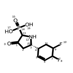 O=C1C[C@@H](C2C=CC(F)C(F)C2)NC1P(=O)(O)O